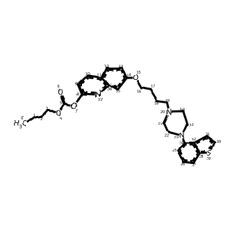 CCCCOC(=O)Oc1ccc2ccc(OCCCCN3CCN(c4cccc5sccc45)CC3)cc2n1